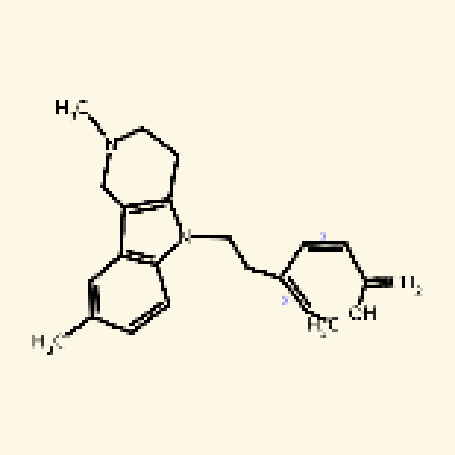 C=C(O)/C=C\C(=C/C)CCn1c2c(c3cc(C)ccc31)CN(C)CC2